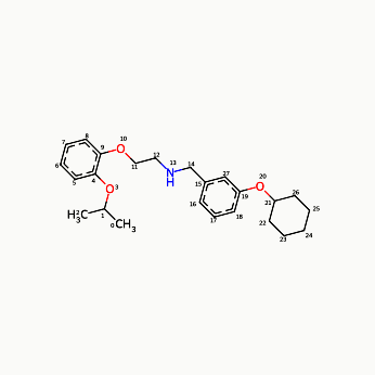 CC(C)Oc1ccccc1OCCNCc1cccc(OC2CCCCC2)c1